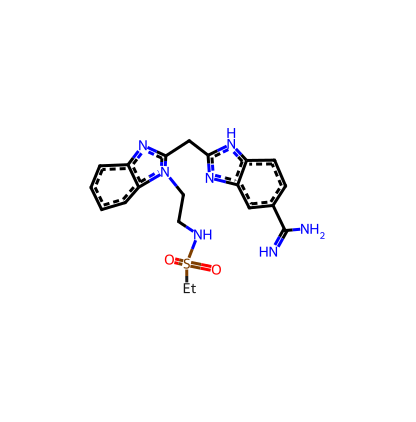 CCS(=O)(=O)NCCn1c(Cc2nc3cc(C(=N)N)ccc3[nH]2)nc2ccccc21